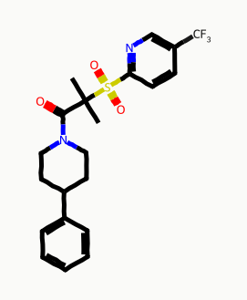 CC(C)(C(=O)N1CCC(c2ccccc2)CC1)S(=O)(=O)c1ccc(C(F)(F)F)cn1